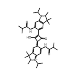 CC(C)C(=O)Nc1cc2c(cc1C1=C(O)/C(=c3\cc4c(cc3NC(=O)C(C)C)=[N+](C(C)C)C(C)C4(C)C)C1=O)C(C)(C)C(C)N2C(C)C